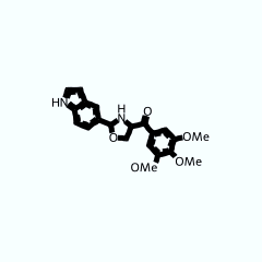 COc1cc(C(=O)C2COC(c3ccc4[nH]ccc4c3)N2)cc(OC)c1OC